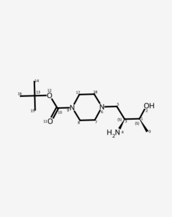 C[C@H](O)[C@@H](N)CN1CCN(C(=O)OC(C)(C)C)CC1